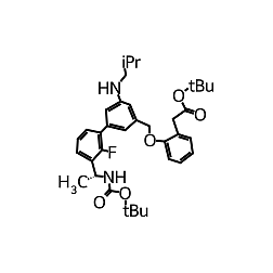 CC(C)CNc1cc(COc2ccccc2CC(=O)OC(C)(C)C)cc(-c2cccc([C@@H](C)NC(=O)OC(C)(C)C)c2F)c1